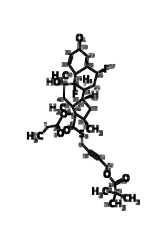 CCC(=O)O[C@]1(C(=O)SCC#CCOC(=O)C(C)(C)C)[C@H](C)C[C@H]2[C@@H]3C[C@H](F)C4=CC(=O)C=C[C@]4(C)[C@@]3(F)[C@@H](O)C[C@@]21C